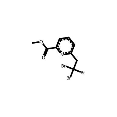 COC(=O)c1cccc(CC(Br)(Br)Br)n1